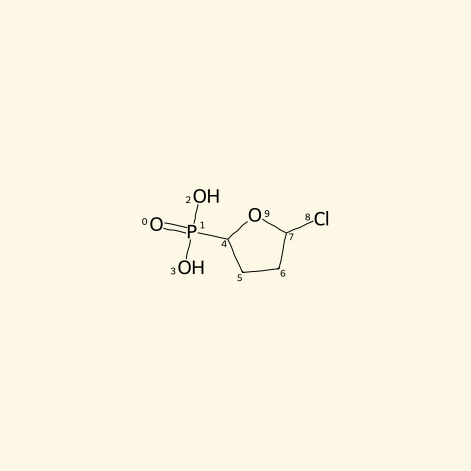 O=P(O)(O)C1CCC(Cl)O1